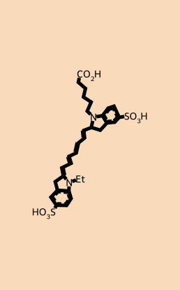 CCN1C(=CC=CC=CC=CC2Cc3cc(S(=O)(=O)O)ccc3N2CCCCCC(=O)O)Cc2cc(S(=O)(=O)O)ccc21